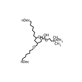 CCCCCCCCCCCCCCCCOCC(COP(O)OCC[N+](C)(C)C)CC(O)CCCCCCCCCCCCCCCC